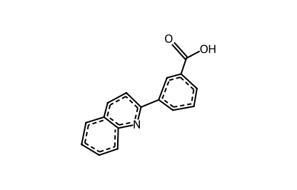 O=C(O)c1cccc(-c2ccc3ccccc3n2)c1